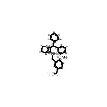 COc1ccc(CO)cc1CNC1C2CCN(C2)C1C(c1ccccc1)c1ccccc1